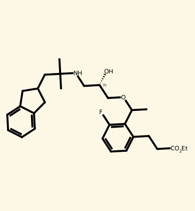 CCOC(=O)CCc1cccc(F)c1C(C)OC[C@@H](O)CNC(C)(C)CC1Cc2ccccc2C1